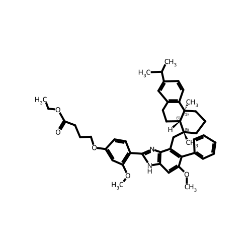 CCOC(=O)CCCOc1ccc(-c2nc3c(C[C@@]4(C)CCC[C@]5(C)c6ccc(C(C)C)cc6CC[C@@H]45)c(-c4ccccc4)c(OC)cc3[nH]2)c(OC)c1